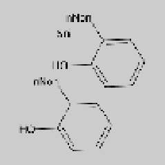 CCCCCCCCCc1ccccc1O.CCCCCCCCCc1ccccc1O.[Sn]